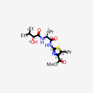 CCC[C@H](NC(=O)[C@@H](O)C(CC)CC)C(=O)Nc1nc(C(=O)OC)c(C(C)C)s1